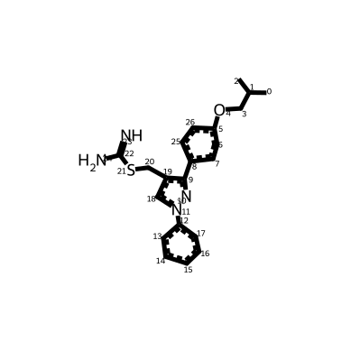 CC(C)COc1ccc(-c2nn(-c3ccccc3)cc2CSC(=N)N)cc1